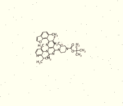 Cc1ccnc(C(C)C)c1-n1c(=O)nc(N2CCN(C(=O)OC(C)(C)C)C[C@@H]2C)c2cc(F)c(-c3c(C)ccc4ccoc34)nc21